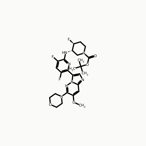 COc1cc2ncc(-c3nc(N[C@H]4CN(C(=O)OC(C)(C)C)CC[C@@H]4F)c(F)cc3F)n2nc1N1CCOCC1